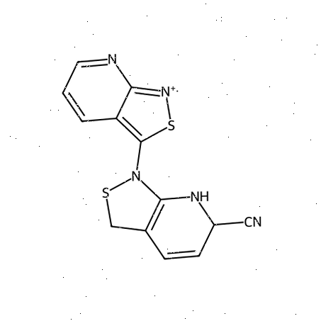 N#CC1C=CC2=C(N1)N(C1=c3cccnc3=[N+]S1)SC2